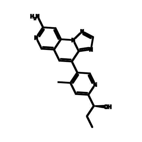 CC[C@H](O)c1cc(C)c(-c2cc3cnc(N)cc3n3ncnc23)cn1